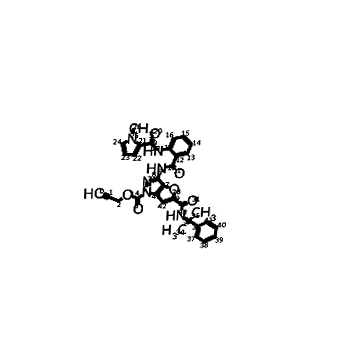 C#CCOC(=O)n1nc(NC(=O)c2ccccc2NC(=O)c2cccn2C)c2oc(C(=O)NC(C)(C)c3ccccc3)cc21